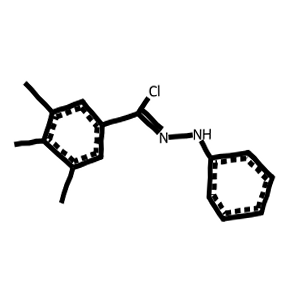 Cc1cc(C(Cl)=NNc2ccccc2)cc(C)c1C